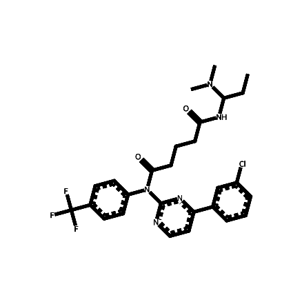 CCC(NC(=O)CCCC(=O)N(c1ccc(C(F)(F)F)cc1)c1nccc(-c2cccc(Cl)c2)n1)N(C)C